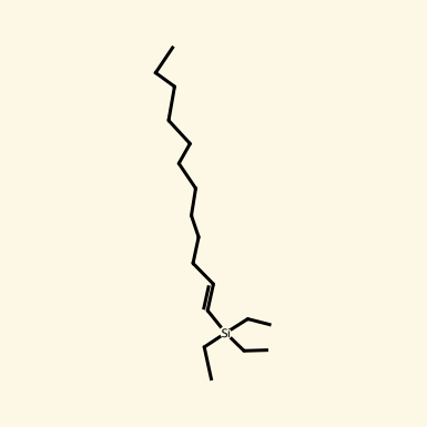 CCCCCCCCCC/C=C/[Si](CC)(CC)CC